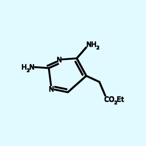 CCOC(=O)Cc1cnc(N)nc1N